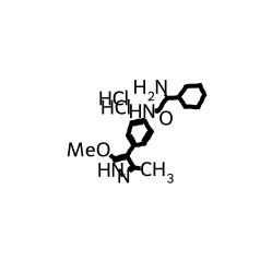 COc1[nH]nc(C)c1-c1ccc(NC(=O)[C@@H](N)C2CCCCC2)cc1.Cl.Cl